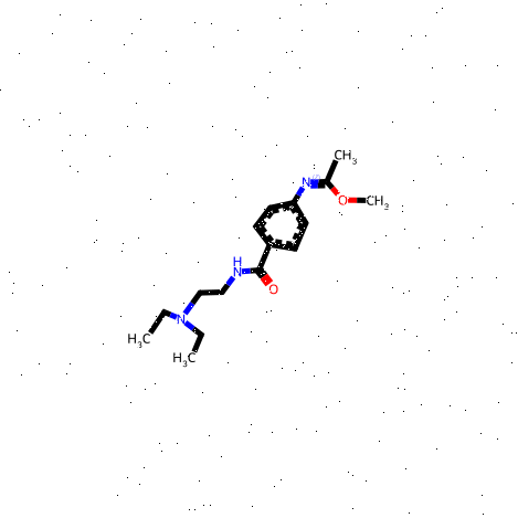 CCN(CC)CCNC(=O)c1ccc(/N=C(/C)OC)cc1